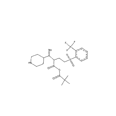 CC(C)(C)C(=O)OC(=O)C(CCS(=O)(=O)c1ccccc1C(F)(F)F)C(=N)C1CCNCC1